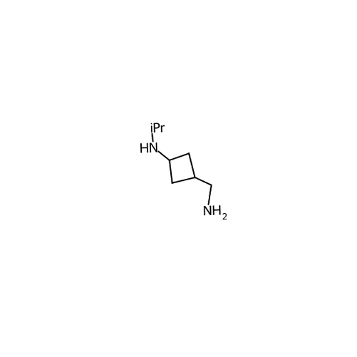 CC(C)NC1CC(CN)C1